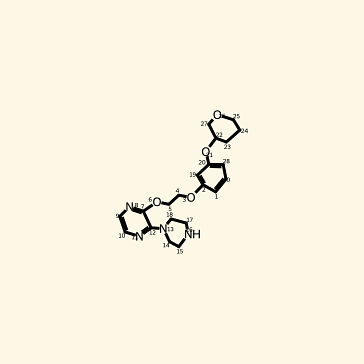 c1cc(OCCOc2nccnc2N2CCNCC2)cc(OC2CCCOC2)c1